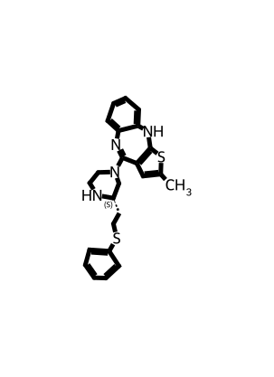 Cc1cc2c(s1)Nc1ccccc1N=C2N1CCN[C@@H](CCSc2ccccc2)C1